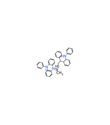 C[SiH](CCC(c1ccccc1)C1C=CC=CC1Nc1ccccc1)N(c1ccccc1)c1ccccc1Nc1ccccc1